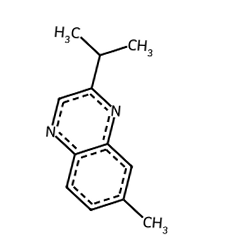 Cc1ccc2ncc(C(C)C)nc2c1